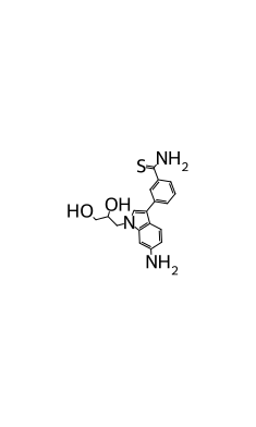 NC(=S)c1cccc(-c2cn(CC(O)CO)c3cc(N)ccc23)c1